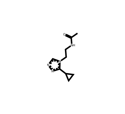 CC(=O)NCCn1cnnc1C1CC1